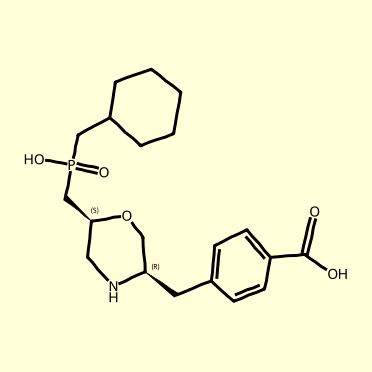 O=C(O)c1ccc(C[C@@H]2CO[C@H](CP(=O)(O)CC3CCCCC3)CN2)cc1